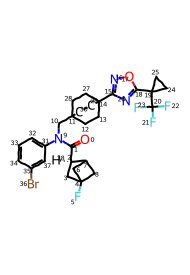 O=C([C@@H]1CC2(F)CC1C2)N(CC12CCC(c3noc(C4(C(F)(F)F)CC4)n3)(CC1)CC2)c1cccc(Br)c1